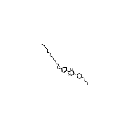 CCCCCCCCCCCCOc1ccc(-c2ncc([C@H]3CC[C@H](CCCC)CC3)cn2)cc1